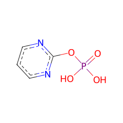 O=P(O)(O)Oc1ncccn1